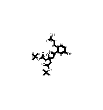 CC(C)(C)OC(=O)CC1(CC(=O)OC(C)(C)C)CC(c2cc(O)ccc2CCC(=O)O)=NO1